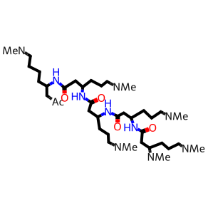 CNCCCCC(CC(C)=O)NC(=O)CC(CCCNC)NC(=O)CC(CCCNC)NC(=O)CC(CCCNC)NC(=O)CC(CCCNC)NC